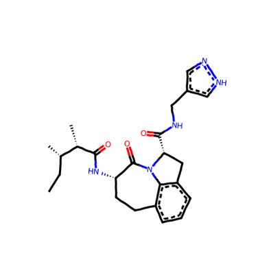 CC[C@H](C)[C@H](C)C(=O)N[C@H]1CCc2cccc3c2N(C1=O)[C@H](C(=O)NCc1cn[nH]c1)C3